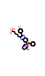 O=C(O)CCCCc1nc2cc(C(=O)N3C4CC[C@H]3CN(Cc3ccccc3)C4)ccc2nc1-c1ccc(Cl)cc1